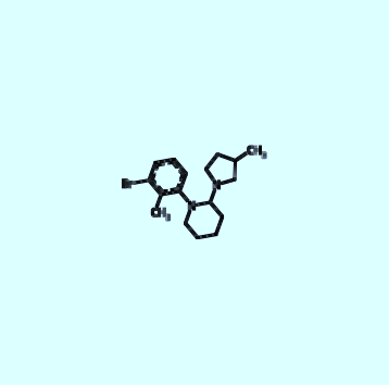 Cc1c(Br)cccc1N1CCCCC1N1CCC(C)C1